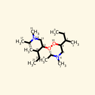 CCC(C)C(CN(C)CC)OOC(CN(C)CC)C(C)CC